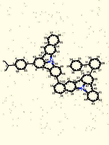 CC(C)c1ccc(-c2cc3c4cc(-c5cccc6cc7c(cc56)c5cc(-c6ccccc6-c6ccccc6)cc6c8ccccc8n7c65)ccc4n4c5cc6ccccc6cc5c(c2)c34)cc1